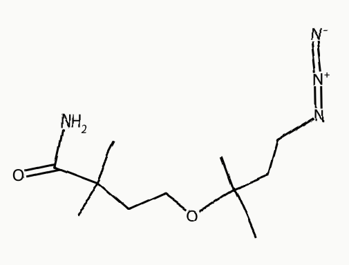 CC(C)(CCN=[N+]=[N-])OCCC(C)(C)C(N)=O